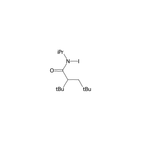 CC(C)N(I)C(=O)C(CC(C)(C)C)C(C)(C)C